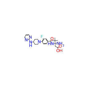 CC(C)(C)C(N)(CC(=O)O)NC(=O)c1ccc(N2CCC(Nc3ncccn3)CC2)c(F)c1